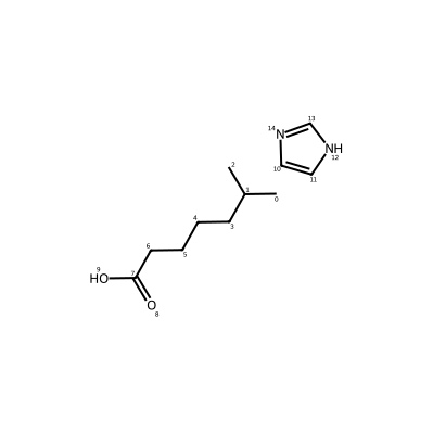 CC(C)CCCCC(=O)O.c1c[nH]cn1